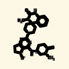 CN1C[C@@H](Nc2nc(N3CCC4(CC3)c3ccccc3NC(=O)N4C)nc3c2[S+]([O-])CC3)CCC1=O